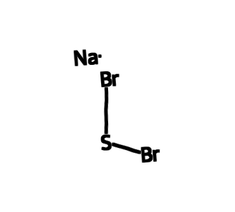 BrSBr.[Na]